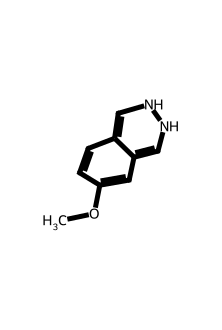 COc1ccc2c(c1)=CNNC=2